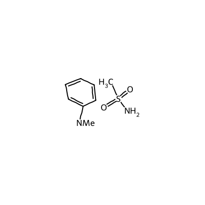 CNc1ccccc1.CS(N)(=O)=O